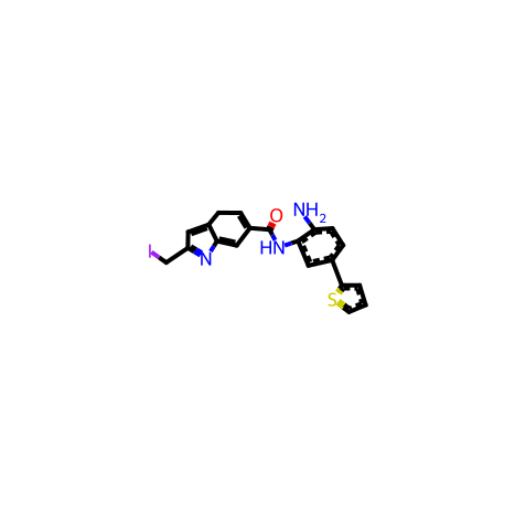 Nc1ccc(-c2cccs2)cc1NC(=O)C1=CCC2=CC(CI)=NC2=C1